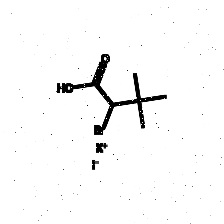 CC(C)(C)C(Br)C(=O)O.[I-].[K+]